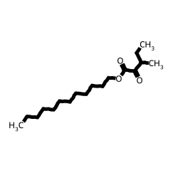 CCCCCCCCCCCCOC(=O)C(=O)C(C)CC